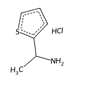 CC(N)c1cccs1.Cl